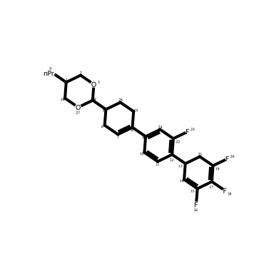 CCCC1COC(C2CC=C(c3ccc(C4C=C(F)C(F)=C(F)C4)c(F)c3)CC2)OC1